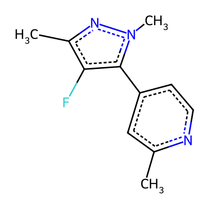 Cc1cc(-c2c(F)c(C)nn2C)ccn1